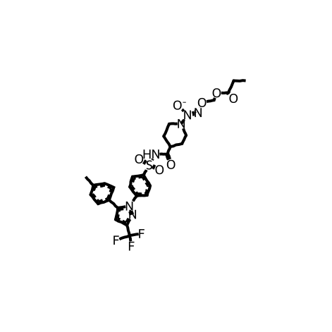 CCC(=O)OCON=[N+]([O-])N1CCC(C(=O)NS(=O)(=O)c2ccc(-n3nc(C(F)(F)F)cc3-c3ccc(C)cc3)cc2)CC1